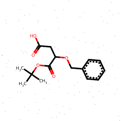 CC(C)(C)OC(=O)C(CC(=O)O)OCc1ccccc1